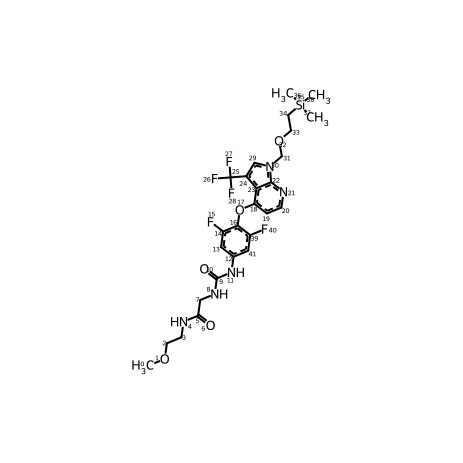 COCCNC(=O)CNC(=O)Nc1cc(F)c(Oc2ccnc3c2c(C(F)(F)F)cn3COCC[Si](C)(C)C)c(F)c1